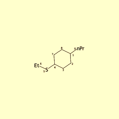 CCCC1CCC(SCC)CC1